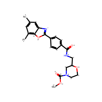 CC(C)c1cc(C#N)cc2nc(-c3ccc(C(=O)NCC4CN(C(=O)OC(C)(C)C)CCO4)cc3)oc12